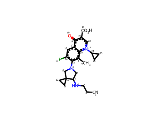 Cc1c(N2CC(NCCC#N)C3(CC3)C2)c(F)cc2c(=O)c(C(=O)O)cn(C3CC3)c12